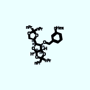 CCCCCCc1cccc(CO[C@@H]2[C@H]3OC(CCC)(CCC)O[C@H]3O[C@@H]2[C@H]2COC(CCC)(CCC)O2)c1